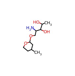 CC1CCOC(OCC(N)C(O)C(C)O)C1